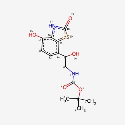 CC(C)(C)OC(=O)NCC(O)c1ccc(O)c2[nH]c(=O)sc12